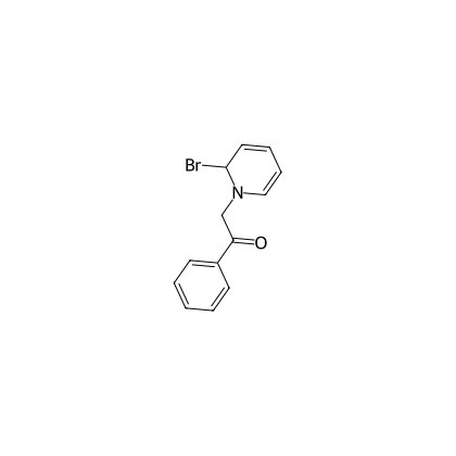 O=C(CN1C=CC=CC1Br)c1ccccc1